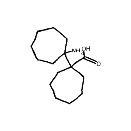 NC1(C2(C(=O)O)CCCCCC2)CCCCCC1